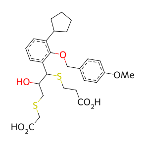 COc1ccc(COc2c(C3CCCC3)cccc2C(SCCC(=O)O)C(O)CSCC(=O)O)cc1